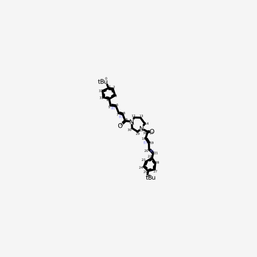 CC(C)(C)c1ccc(/C=C/C=C/C(=O)N2CCCN(C(=O)/C=C/C=C/c3ccc(C(C)(C)C)cc3)CC2)cc1